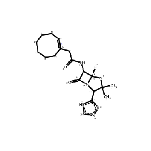 CC1(C)S[C@H]2C(NC(=O)C/C3=C/CCCCCC3)C(=O)N2C1c1nnn[nH]1